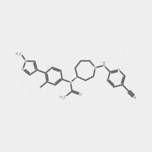 CC(=O)N(c1ccc(-c2cnn(C)c2)c(I)c1)[C@H]1CCCN(Nc2ccc(C#N)cn2)CC1